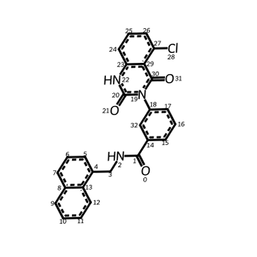 O=C(NCc1cccc2ccccc12)c1cccc(-n2c(=O)[nH]c3cccc(Cl)c3c2=O)c1